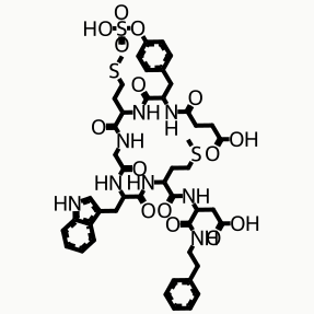 CSCCC(NC(=O)C(Cc1ccc(OS(=O)(=O)O)cc1)NC(=O)CCC(=O)O)C(=O)NCC(=O)NC(Cc1c[nH]c2ccccc12)C(=O)NC(CCSC)C(=O)NC(CC(=O)O)C(=O)NCCc1ccccc1